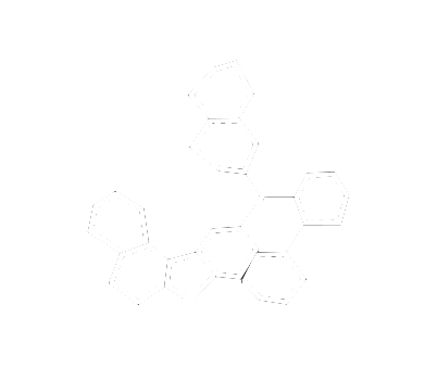 c1ccc(-c2ccccc2N(c2ccc3ccccc3c2)c2ccc3oc4ccc5ccccc5c4c3c2)cc1